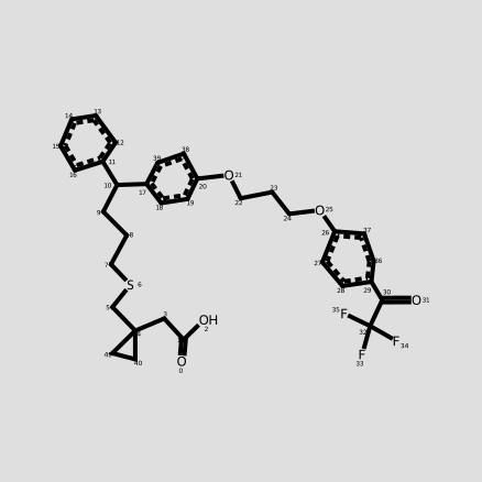 O=C(O)CC1(CSCCCC(c2ccccc2)c2ccc(OCCCOc3ccc(C(=O)C(F)(F)F)cc3)cc2)CC1